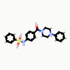 O=C(c1ccc(NS(=O)(=O)c2ccccc2)cc1)N1CCN(c2ccccc2)CC1